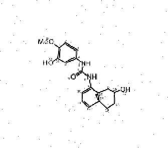 COc1ccc(NC(=O)Nc2cccc3c2CC(O)CC3)cc1O